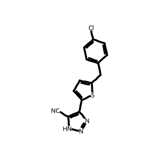 N#Cc1[nH]nnc1-c1ccc(Cc2ccc(Cl)cc2)s1